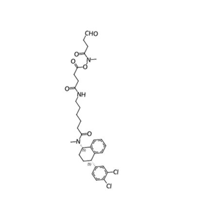 CN(OC(=O)CCC(=O)NCCCCCC(=O)N(C)[C@H]1CC[C@@H](c2ccc(Cl)c(Cl)c2)c2ccccc21)C(=O)CCC=O